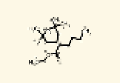 CC1(C)CCCC(C)(C)N1.CCCCCC(=O)OCC